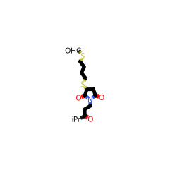 CC(C)C(=O)CCN1C(=O)CC(SCCCCSC=O)C1=O